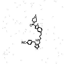 CN1CCN(C(=O)c2cc3cc(CCCNCc4cncn4Cc4ccc(C#N)cc4)ccc3s2)CC1